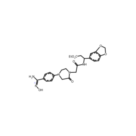 CCOC(=O)CC(NC(=O)CN1CCN(c2ccc(/C(N)=N\O)cc2)CC1=O)c1ccc2c(c1)OCO2